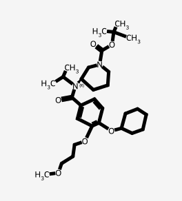 COCCCOc1cc(C(=O)N(C(C)C)[C@@H]2CCCN(C(=O)OC(C)(C)C)C2)ccc1OC1CCCCC1